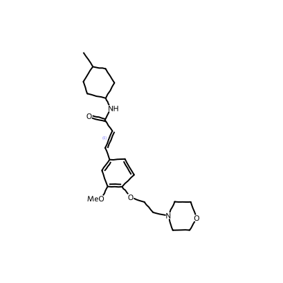 COc1cc(/C=C/C(=O)NC2CCC(C)CC2)ccc1OCCN1CCOCC1